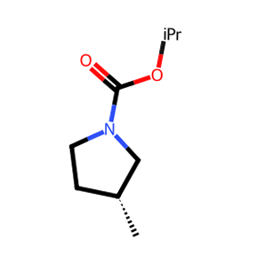 CC(C)OC(=O)N1CC[C@@H](C)C1